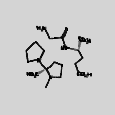 CN1CCC[C@]1(C(=O)O)N1CCCC1.NCC(=O)N[C@@H](CCC(=O)O)C(=O)O